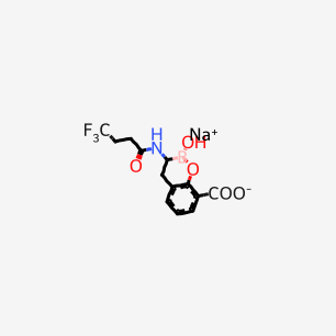 O=C(CCC(F)(F)F)NC1Cc2cccc(C(=O)[O-])c2OB1O.[Na+]